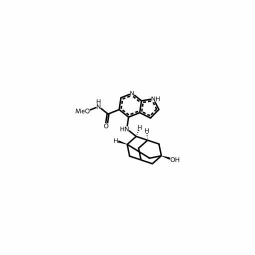 CONC(=O)c1cnc2[nH]ccc2c1N[C@H]1[C@@H]2CC3C[C@H]1C[C@@](O)(C3)C2